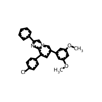 COc1cc(OC)cc(-c2cc(-c3ccc(Cl)cc3)c3nc(-c4ccccc4)cn3c2)c1